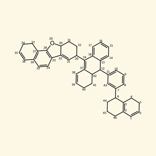 C1=CC2=C(CC1)C(c1cccc(C3c4ccccc4C(C4C=C5c6ccc7c(c6OC5CC4)CCC=C7)=C4C=CCCC43)c1)CCC2